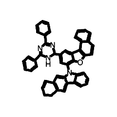 C1=Cc2cc3c(cc2CC1)c1ccccc1n3-c1cc(C2N=C(c3ccccc3)N=C(c3ccccc3)N2)cc2c1oc1ccc3ccccc3c12